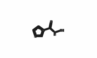 O=C(NO)n1ccnc1